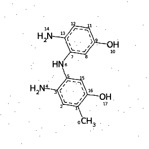 Cc1cc(N)c(Nc2cc(O)ccc2N)cc1O